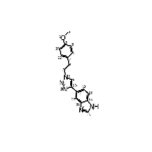 COc1ccc(CCn2cc(-c3ccc4[nH]cnc4c3)nn2)cc1